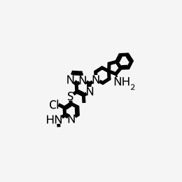 CNc1nccc(Sc2c(C)nc(N3CCC4(CC3)Cc3ccccc3[C@H]4N)n3ccnc23)c1Cl